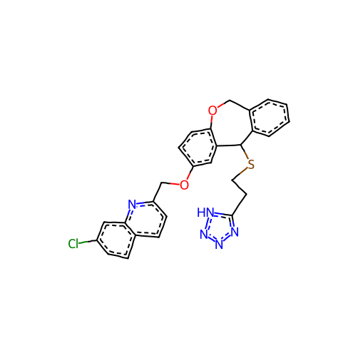 Clc1ccc2ccc(COc3ccc4c(c3)C(SCCc3nnn[nH]3)c3ccccc3CO4)nc2c1